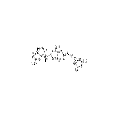 COc1ccc2nccc([C@H](F)CC[C@@H]3CCN(CC#Cc4cc(F)cc(F)c4)C[C@@H]3CO)c2c1